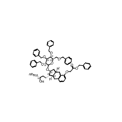 CCCCC[C@@H](O)CC[C@H]1[C@@H]2Cc3cccc(OCC(=O)OCc4ccccc4)c3C[C@@H]2C[C@@H]1OC1O[C@H](COCc2ccccc2)[C@@H](OCc2ccccc2)[C@H](OCc2ccccc2)[C@H]1OCc1ccccc1